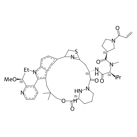 C=CC(=O)N1CC[C@H](C(=O)N(C)[C@H](C(=O)N[C@H]2CC3=NC(CS3)c3ccc4c(c3)c(c(-c3cccnc3[C@H](C)OC)n4CC)CC(C)(C)COC(=O)[C@@H]3CCCN(N3)C2=O)C(C)C)C1